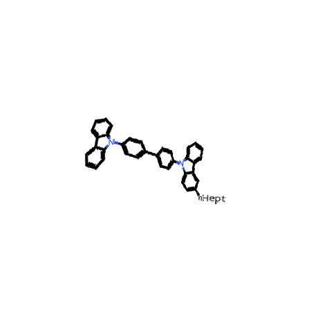 CCCCCCCc1ccc2c(c1)c1ccccc1n2-c1ccc(-c2ccc(-n3c4ccccc4c4ccccc43)cc2)cc1